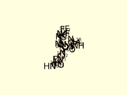 N#CC1(NS(=O)(=O)c2cc(N3CCN(C(=O)C4(F)CNC4)CC3)c3cnc(-c4nnc(C(F)(F)F)s4)n3c2)CC1